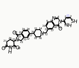 N=C(/C=C\S)n1cnc2ccc(CN3CCC(c4ccc5c(c4)CN(C4CCC(=O)NC4=O)C5=O)CC3)cc2c1=O